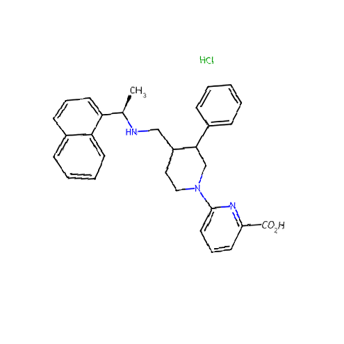 C[C@@H](NCC1CCN(c2cccc(C(=O)O)n2)CC1c1ccccc1)c1cccc2ccccc12.Cl